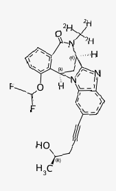 [2H]C([2H])([2H])N1C(=O)c2cccc(OC(F)F)c2[C@H]2C[C@@H]1c1nc3ccc(C#CC[C@@H](C)O)cc3n12